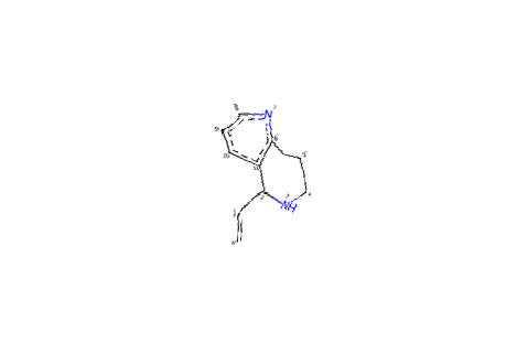 C=CC1NCCc2ncccc21